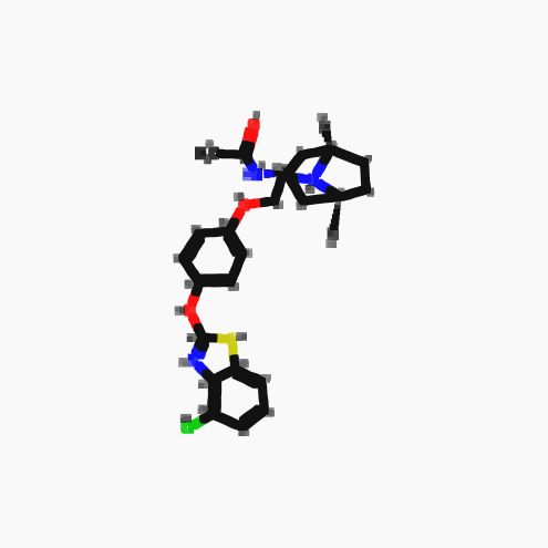 CC(=O)N[C@@H]1C[C@H]2CC[C@@H](C1)N2CCOc1ccc(Oc2nc3c(Cl)cccc3s2)cc1